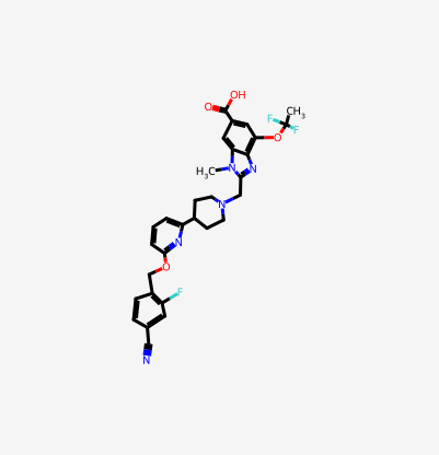 Cn1c(CN2CCC(c3cccc(OCc4ccc(C#N)cc4F)n3)CC2)nc2c(OC(C)(F)F)cc(C(=O)O)cc21